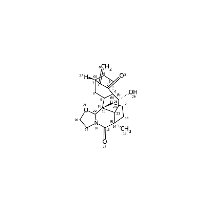 C=C1C(=O)[C@]23CC[C@H]1CC2[C@@]12CCC[C@@](C)(C(=O)N4CCOC41)C2C[C@H]3O